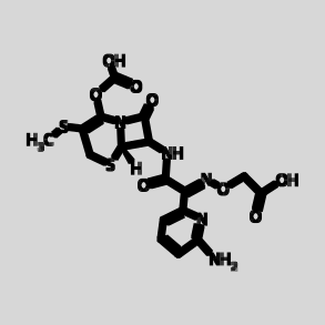 CSC1=C(OC(=O)O)N2C(=O)C(NC(=O)C(=NOCC(=O)O)c3cccc(N)n3)[C@@H]2SC1